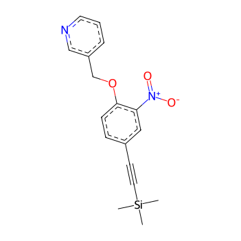 C[Si](C)(C)C#Cc1ccc(OCc2cccnc2)c([N+](=O)[O-])c1